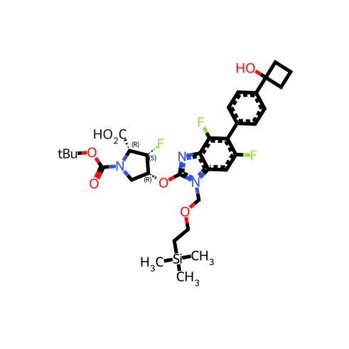 CC(C)(C)OC(=O)N1C[C@@H](Oc2nc3c(F)c(-c4ccc(C5(O)CCC5)cc4)c(F)cc3n2COCC[Si](C)(C)C)[C@@H](F)[C@H]1C(=O)O